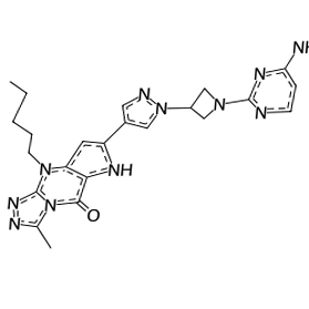 CCCCCn1c2cc(-c3cnn(C4CN(c5nccc(N)n5)C4)c3)[nH]c2c(=O)n2c(C)nnc12